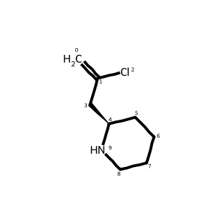 C=C(Cl)C[C@H]1CCCCN1